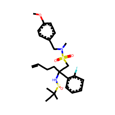 C=CCCC(CS(=O)(=O)N(C)Cc1ccc(OC)cc1)(N[S+]([O-])C(C)(C)C)c1ccccc1F